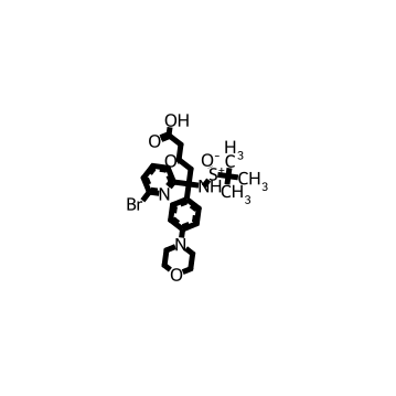 CC(C)(C)[S+]([O-])NC(CC(=O)CC(=O)O)(c1ccc(N2CCOCC2)cc1)c1cccc(Br)n1